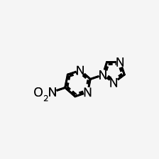 O=[N+]([O-])c1cnc(-n2cncn2)nc1